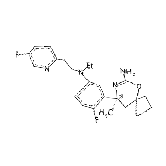 CCN(CCc1ccc(F)cn1)c1ccc(F)c([C@]2(C)CC3(CCC3)OC(N)=N2)c1